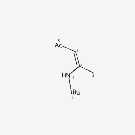 CC(=O)C=C(C)NC(C)(C)C